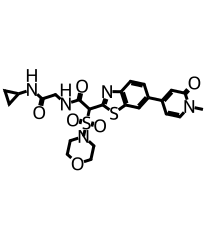 Cn1ccc(-c2ccc3nc(C(C(=O)NCC(=O)NC4CC4)S(=O)(=O)N4CCOCC4)sc3c2)cc1=O